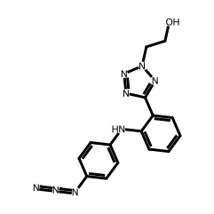 [N-]=[N+]=Nc1ccc(Nc2ccccc2-c2nnn(CCO)n2)cc1